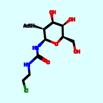 CC(=O)N[C@@H]1[C@@H](O)[C@H](O)[C@@H](CO)O[C@H]1NC(=O)NCCCl